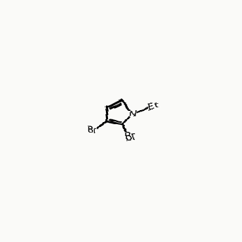 CCn1ccc(Br)c1Br